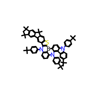 CC(C)(C)c1ccc(N2c3cccc4c3B(c3ccc5c(c3N4c3ccc(C(C)(C)C)cc3)c3cc(C(C)(C)C)ccc3n5-c3ccc(C(C)(C)C)cc3)c3sc4cc5c(cc4c32)-c2cc3c(cc2C5(C)C)C(C)(C)CC3(C)C)cc1